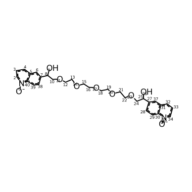 [O-][n+]1cccc2cc(C(O)COCCOCCOCCOCCOCC(O)c3ccc4c(ccc[n+]4[O-])c3)ccc21